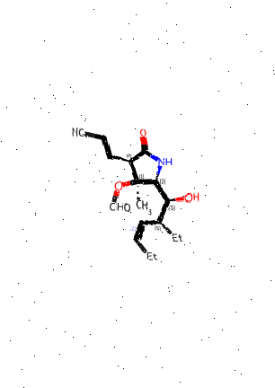 CC/C=C\[C@H](CC)[C@H](O)[C@@H]1NC(=O)[C@H](CCC#N)[C@]1(C)OC=O